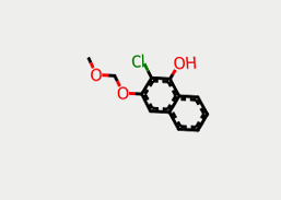 COCOc1cc2ccccc2c(O)c1Cl